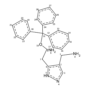 NCc1cn[nH]c1CC(N)OC(c1ccccc1)(c1ccccc1)c1ccccc1